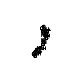 COC(=O)N[C@H](C(=O)N1CCC[C@H]1c1ncc(-c2ccc3nc(-c4ccc5nc([C@@H]6CC7(CC7)CN6C(=O)[C@@H](NC(=O)OC)C(C)C)[nH]c5c4)ncc3c2)[nH]1)C(C)C